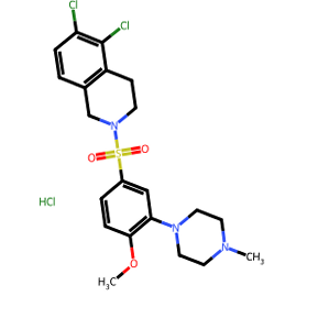 COc1ccc(S(=O)(=O)N2CCc3c(ccc(Cl)c3Cl)C2)cc1N1CCN(C)CC1.Cl